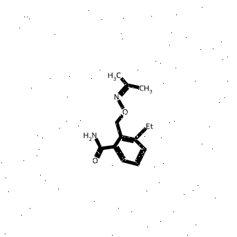 CCc1cccc(C(N)=O)c1CON=C(C)C